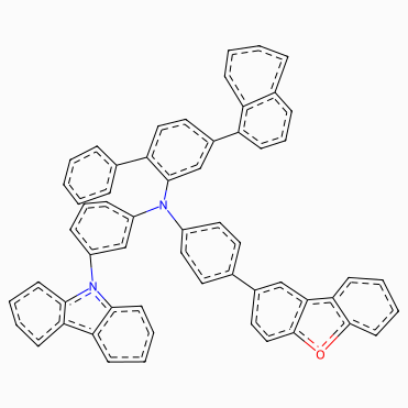 c1ccc(-c2ccc(-c3cccc4ccccc34)cc2N(c2ccc(-c3ccc4oc5ccccc5c4c3)cc2)c2cccc(-n3c4ccccc4c4ccccc43)c2)cc1